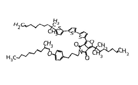 C=CCCCCCC(C)(C)c1ccc(-c2ccc(-c3ccc(-c4oc(C(C)(C)CCCCC=C)c5c4C(=O)N(CCCc4ccc(OCC(C)CCCCCCCC)cc4)C5=O)s3)s2)s1